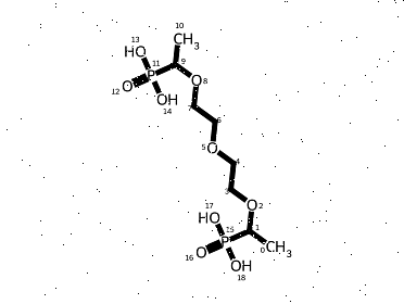 CC(OCCOCCOC(C)P(=O)(O)O)P(=O)(O)O